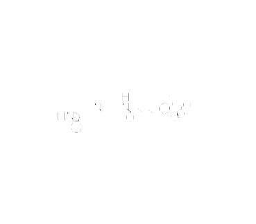 CCOC(=O)Oc1c(OC)cc(C=CC=CC(=O)NCCCCN2CCC(c3c[nH]c4ccccc34)CC2)cc1OC